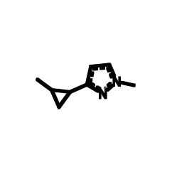 CC1CC1c1ccn(C)n1